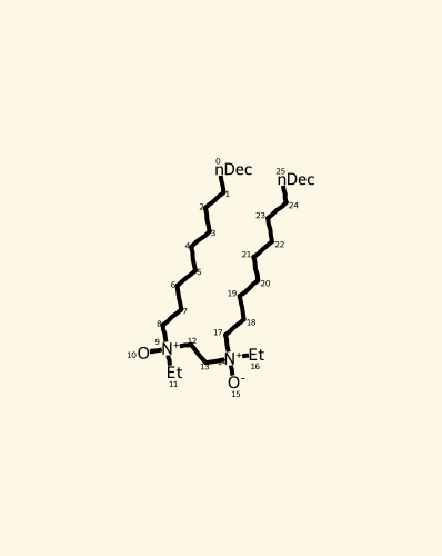 CCCCCCCCCCCCCCCCCC[N+]([O-])(CC)CC[N+]([O-])(CC)CCCCCCCCCCCCCCCCCC